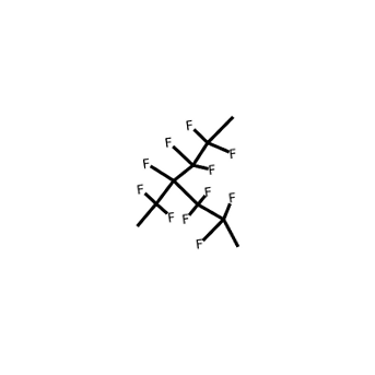 CC(F)(F)C(F)(F)C(F)(C(C)(F)F)C(F)(F)C(C)(F)F